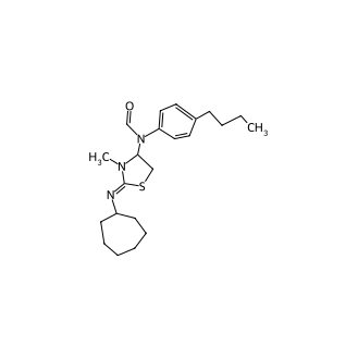 CCCCc1ccc(N(C=O)C2CSC(=NC3CCCCCC3)N2C)cc1